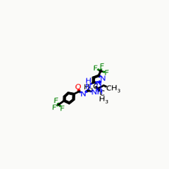 CCC(C)(C)N/C(=N/C(=O)c1ccc(C(F)(F)F)cc1)Nc1cc(C(F)(F)F)n[nH]1